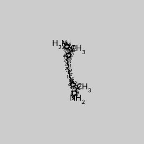 CCC(c1ccc(N)cc1)c1ccc(CCCCCCCCCCCc2ccc(C(CC)c3ccc(N)cc3)cc2)cc1